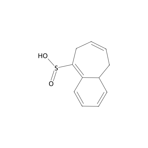 O=S(O)C1=C2C=CC=CC2CC=CC1